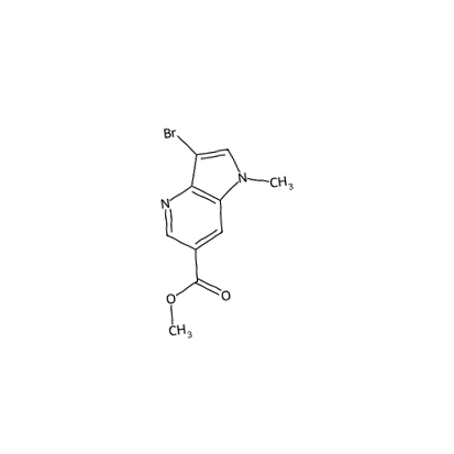 COC(=O)c1cnc2c(Br)cn(C)c2c1